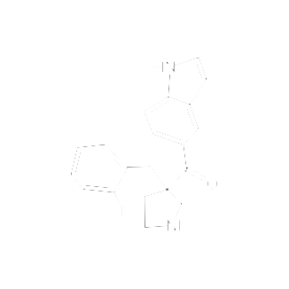 O=C(c1ccc2[nH]ccc2c1)C1(Cc2ccccc2F)CCNC1